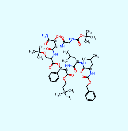 CC(C)C[C@H](NC(=O)[C@@H](CC(C)C)NC(=O)OCc1ccccc1)C(=O)N[C@H](C(=O)OCC[Si](C)(C)C)[C@H](OC(=O)C(COC(C)(C)C)NC(=O)[C@@H](NC(=O)CNC(=O)OC(C)(C)C)[C@H](O)C(N)=O)c1ccccc1